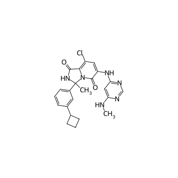 CNc1cc(Nc2cc(Cl)c3n(c2=O)C(C)(c2cccc(C4CCC4)c2)NC3=O)ncn1